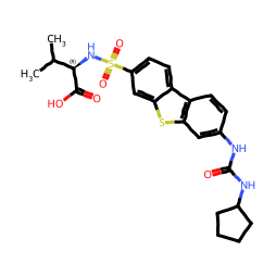 CC(C)[C@@H](NS(=O)(=O)c1ccc2c(c1)sc1cc(NC(=O)NC3CCCC3)ccc12)C(=O)O